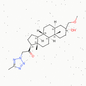 COC[C@@]1(O)CC[C@@]2(C)[C@@H](CC[C@@H]3[C@@H]2CC[C@]2(C)[C@@H](C(=O)Cn4nnc(C)n4)CC[C@@H]32)C1